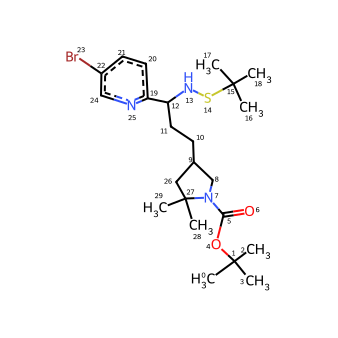 CC(C)(C)OC(=O)N1CC(CCC(NSC(C)(C)C)c2ccc(Br)cn2)CC1(C)C